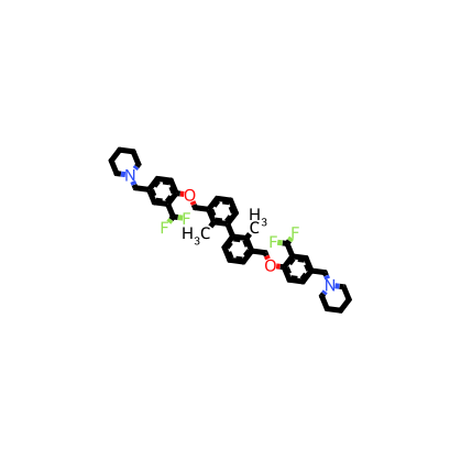 Cc1c(COc2ccc(CN3CCCCC3)cc2C(F)F)cccc1-c1cccc(COc2ccc(CN3CCCCC3)cc2C(F)F)c1C